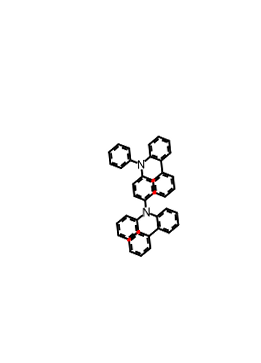 c1ccc(-c2ccccc2N(c2ccccc2)c2ccc(N(c3ccccc3)c3ccccc3-c3ccccc3)cc2)cc1